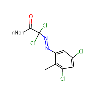 CCCCCCCCCC(=O)C(Cl)(Cl)N=Nc1cc(Cl)cc(Cl)c1C